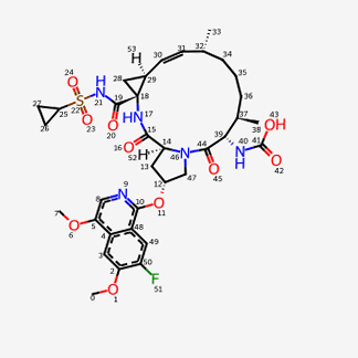 COc1cc2c(OC)cnc(O[C@@H]3C[C@H]4C(=O)N[C@]5(C(=O)NS(=O)(=O)C6CC6)C[C@H]5C=C[C@H](C)CCC[C@@H](C)[C@H](NC(=O)O)C(=O)N4C3)c2cc1F